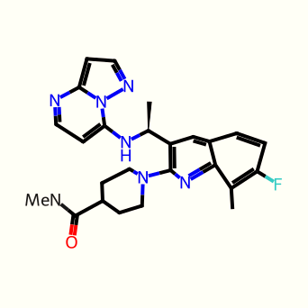 CNC(=O)C1CCN(c2nc3c(C)c(F)ccc3cc2[C@H](C)Nc2ccnc3ccnn23)CC1